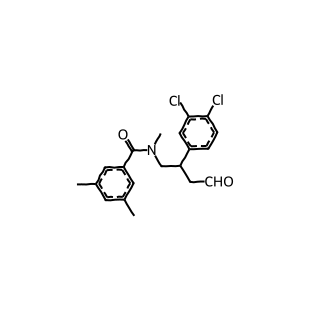 Cc1cc(C)cc(C(=O)N(C)CC(CC=O)c2ccc(Cl)c(Cl)c2)c1